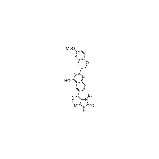 CCn1c(=O)[nH]c2ncnc(-c3ccc4nc(C5COc6ccc(OC)cc6C5)nc(O)c4c3)c21